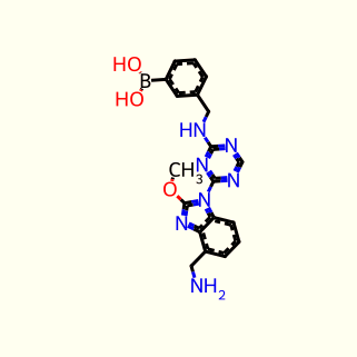 COc1nc2c(CN)cccc2n1-c1ncnc(NCc2cccc(B(O)O)c2)n1